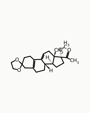 CO[C@]1(C(C)=O)CC[C@H]2[C@@H]3CCC4=C(CCC5(C4)OCCO5)C3=CC[C@@]21C